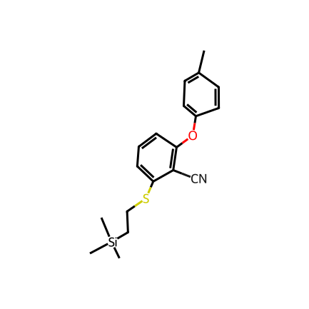 Cc1ccc(Oc2cccc(SCC[Si](C)(C)C)c2C#N)cc1